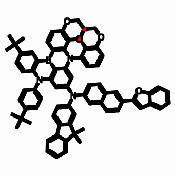 CC(C)(C)c1ccc(N2c3ccc(C(C)(C)C)cc3B3c4ccc5c(c4N(c4cccc6c4OCCO6)c4cc(N(c6ccc7c(c6)C(C)(C)c6ccccc6-7)c6ccc7cc(-c8cc9ccccc9o8)ccc7c6)cc2c43)OCCO5)cc1